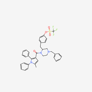 Cc1cc(C(=O)N2CCN(Cc3ccccc3)CC2Cc2ccc(OS(=O)(=O)C(F)(F)F)cc2)c(-c2ccccc2)n1-c1ccccc1